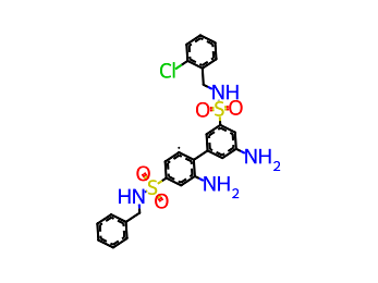 Nc1cc(-c2[c]cc(S(=O)(=O)NCc3ccccc3)cc2N)cc(S(=O)(=O)NCc2ccccc2Cl)c1